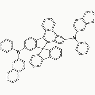 c1ccc(N(c2ccc3c(c2)C2(c4ccccc4-c4ccccc42)c2c-3c3ccccc3c3cc(N(c4ccccc4)c4ccc5ccccc5c4)ccc23)c2ccc3ccccc3c2)cc1